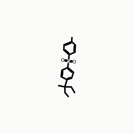 CCC(C)(CC)c1ccc(S(=O)(=O)c2ccc(C)cc2)cc1